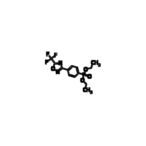 CCOP(=O)(OCC)c1ccc(-c2noc(C(F)(F)F)n2)cc1